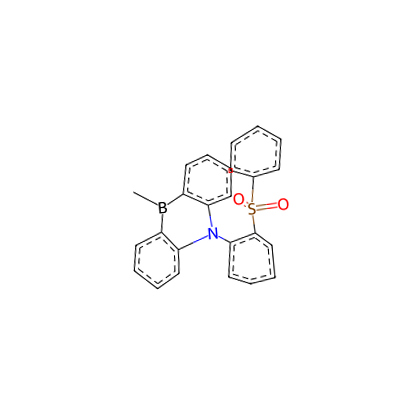 CB1c2ccccc2N(c2ccccc2S(=O)(=O)c2ccccc2)c2ccccc21